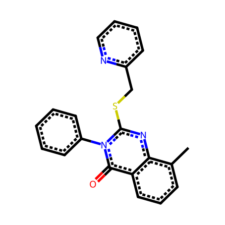 Cc1cccc2c(=O)n(-c3ccccc3)c(SCc3ccccn3)nc12